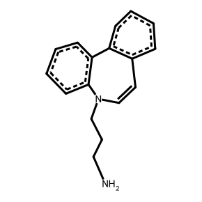 NCCCN1C=Cc2ccccc2-c2ccccc21